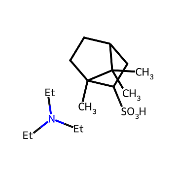 CC1(C)C2CCC1(C)C(S(=O)(=O)O)C2.CCN(CC)CC